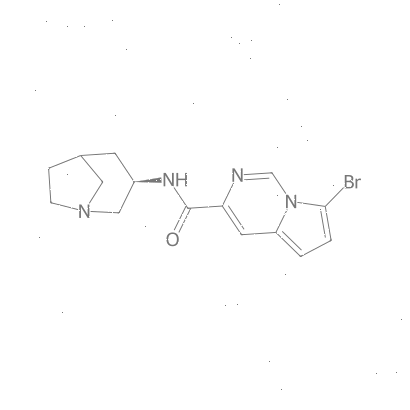 O=C(N[C@@H]1CC2CCN(C2)C1)c1cc2ccc(Br)n2cn1